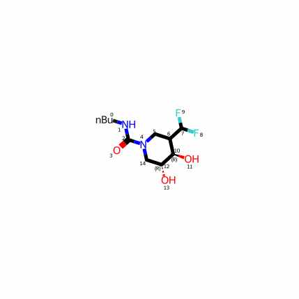 CCCCNC(=O)N1CC(C(F)F)[C@@H](O)[C@H](O)C1